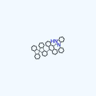 c1ccc(N2c3ccccc3NC2c2c3ccccc3c(-c3cccc4c3-c3ccccc3C43c4ccccc4-c4ccccc43)c3ccccc23)cc1